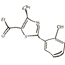 CCC(=O)c1sc(-c2ccccc2O)nc1O